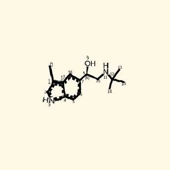 Cc1c[nH]c2ccc([C@@H](O)CNC(C)(C)C)cc12